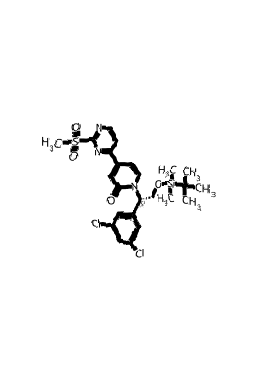 CC(C)(C)[Si](C)(C)OC[C@H](c1cc(Cl)cc(Cl)c1)n1ccc(-c2ccnc(S(C)(=O)=O)n2)cc1=O